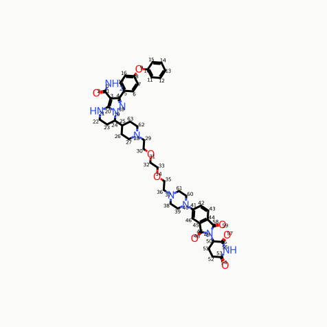 NC(=O)c1c(-c2ccc(Oc3ccccc3)cc2)nn2c1NCCC2C1CCN(CCOCCOCCN2CCN(c3ccc4c(c3)C(=O)N(C3CCC(=O)NC3=O)C4=O)CC2)CC1